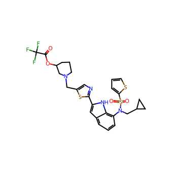 O=C(OC1CCCN(Cc2cnc(-c3cc4cccc(N(CC5CC5)S(=O)(=O)c5cccs5)c4[nH]3)s2)C1)C(F)(F)F